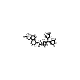 CC(=O)Oc1cccc2c1CCCC2CCn1cc(C(c2ccccc2)c2cccnc2)cn1